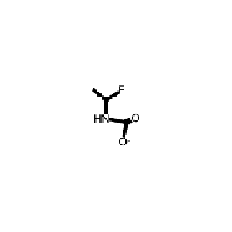 CC(F)NC([O])=O